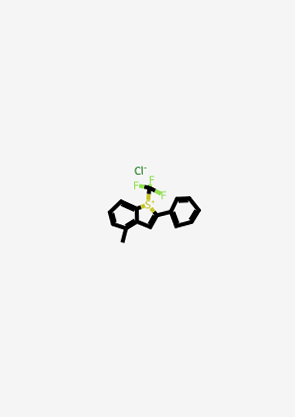 Cc1cccc2c1cc(-c1ccccc1)[s+]2C(F)(F)F.[Cl-]